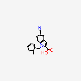 Cc1ccccc1Cn1c(C(=O)O)cc2cc(C#N)ccc21